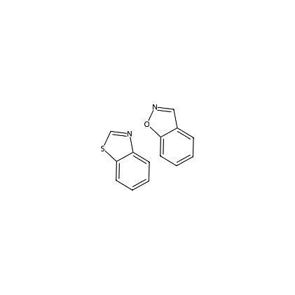 c1ccc2oncc2c1.c1ccc2scnc2c1